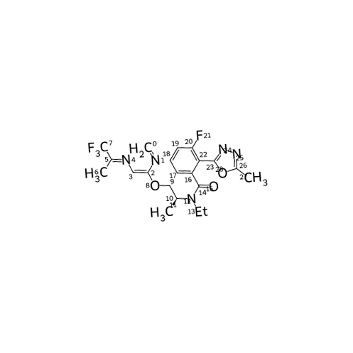 C=N/C(=C\N=C(/C)C(F)(F)F)OC[C@H](C)N(CC)C(=O)c1cccc(F)c1-c1nnc(C)o1